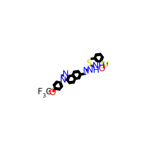 Cc1cccc([S+](C)[O-])c1NC(=S)N/N=C/c1ccc2c(ccc3c2ncn3-c2ccc(OC(F)(F)F)cc2)c1